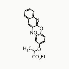 CCOC(=O)C(C)Oc1ccc(Oc2nc3ccccc3cc2[N+](=O)[O-])cc1